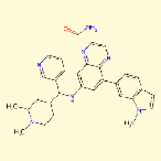 CC1CC(C(Nc2cc(-c3ccc4ccn(C)c4c3)c3nccnc3c2)c2cccnc2)CCN1C.NC=O